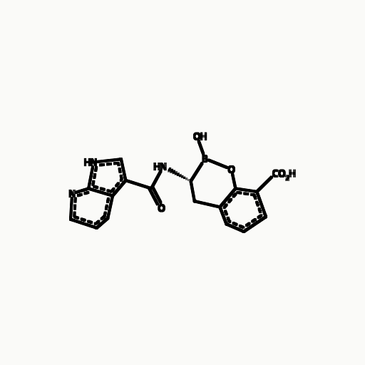 O=C(O)c1cccc2c1OB(O)[C@@H](NC(=O)c1c[nH]c3ncccc13)C2